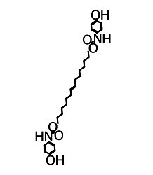 O=C(Nc1ccc(O)cc1)OCCCCCCC/C=C/CCCCCCCOC(=O)Nc1ccc(O)cc1